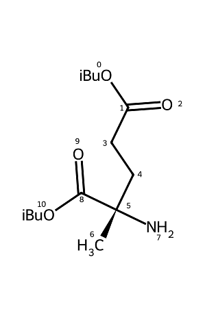 CC(C)COC(=O)CC[C@](C)(N)C(=O)OCC(C)C